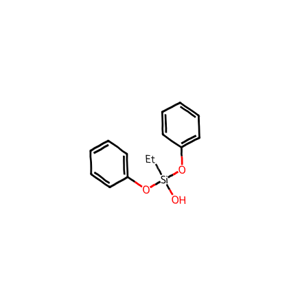 CC[Si](O)(Oc1ccccc1)Oc1ccccc1